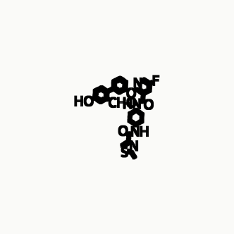 Cc1nc(C(=O)N[C@H]2CC[C@H](NC(=O)c3cc(F)cnc3Oc3cccc(-c4ccc(O)cc4C=O)c3)CC2)cs1